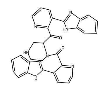 O=C(c1ncccc1-c1nc2ccccc2[nH]1)C1CNCCN1C(=O)c1ncccc1-c1nc2ccccc2[nH]1